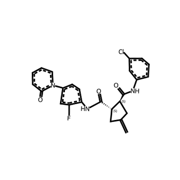 C=C1C[C@H](C(=O)Nc2cccc(Cl)c2)[C@@H](C(=O)Nc2ccc(-n3ccccc3=O)cc2F)C1